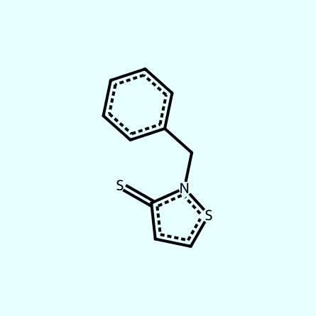 S=c1ccsn1Cc1ccccc1